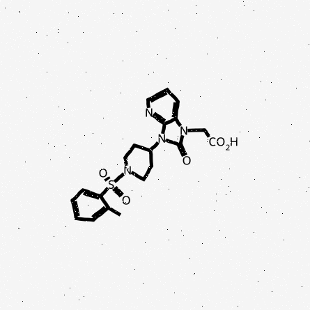 Cc1ccccc1S(=O)(=O)N1CCC(n2c(=O)n(CC(=O)O)c3cccnc32)CC1